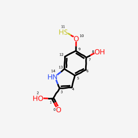 O=C(O)c1cc2cc(O)c(OS)cc2[nH]1